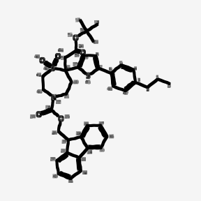 CCCc1ccc(-c2ccc(C3(CC(=O)OC(C)(C)C)CCN(C(=O)OCC4c5ccccc5-c5ccccc54)CCS3(=O)=O)s2)cc1